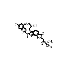 CNCCn1c(Nc2nc3ccc(Cl)cc3s2)nc2cc(C(=O)NCC(=O)N(C)C)ccc21.Cl